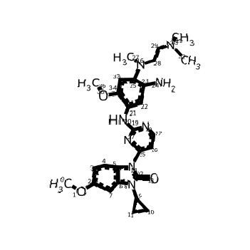 COc1ccc2c(c1)n(C1CC1)c(=O)n2-c1ccnc(Nc2cc(N)c(N(C)CCN(C)C)cc2OC)n1